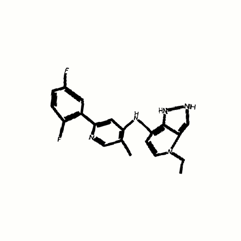 CCN1C=CC(Nc2cc(-c3cc(F)ccc3F)ncc2C)=C2NNC=C21